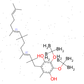 BC(B)(B)Oc1c(O)c(C)c(CC(C)(C)/C=C(\C)CCC(C)(C)/C=C(\C)CCC=C(C)C)c(O)c1OC(B)(B)B